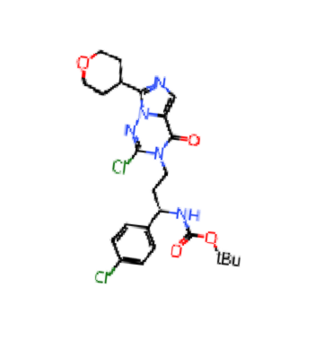 CC(C)(C)OC(=O)N[C@H](CCn1c(Cl)nn2c(C3CCOCC3)ncc2c1=O)c1ccc(Cl)cc1